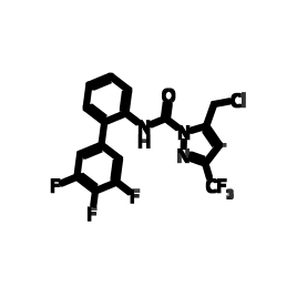 O=C(Nc1ccccc1-c1cc(F)c(F)c(F)c1)n1nc(C(F)(F)F)[c]c1CCl